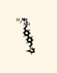 CC1CCCN1CCc1ccc(-c2ccc(CCN/C=N\N)cc2)cc1